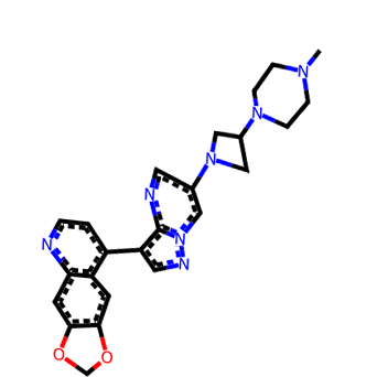 CN1CCN(C2CN(c3cnc4c(-c5ccnc6cc7c(cc56)OCO7)cnn4c3)C2)CC1